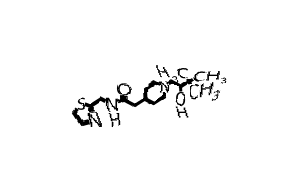 CC(C)(C)C(O)CN1CCC(CC(=O)NCC2=NCCS2)CC1